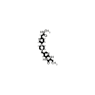 CCC1Nc2ncc(CN3CCN(c4ccc(CC(=O)NC)nc4)CC3)cc2NC1=O